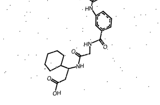 N=C(N)Nc1cccc(C(=O)NCC(=O)NC(CC(=O)O)C2CCCCC2)c1